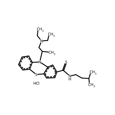 CCN(CC)CC(C)N1c2ccccc2Sc2ccc(C(=S)NCCC(C)C)cc21.Cl